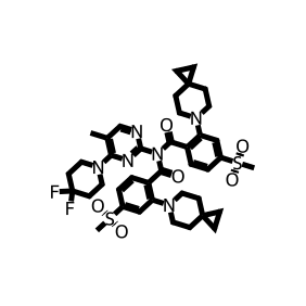 Cc1cnc(N(C(=O)c2ccc(S(C)(=O)=O)cc2N2CCC3(CC2)CC3)C(=O)c2ccc(S(C)(=O)=O)cc2N2CCC3(CC2)CC3)nc1N1CCC(F)(F)CC1